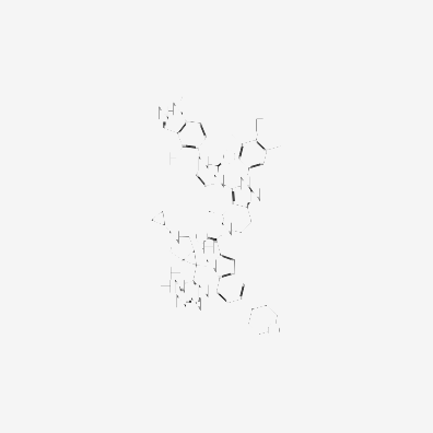 Cc1cc(-n2nc3c(c2-n2ccn(-c4ccc5c(cnn5C)c4F)c2=O)[C@H](C)N(C(=O)c2cc4cc(C5CCOCC5)ccc4n2C2(c4nnn[nH]4)[C@@H]4CN(C5CC5)C[C@@H]42)CC3)cc(C)c1F